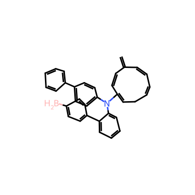 Bc1ccc(-c2ccccc2N(C2=C/C/C=C\C=C/C(=C)/C=C\2)c2ccc(-c3ccccc3)cc2)cc1